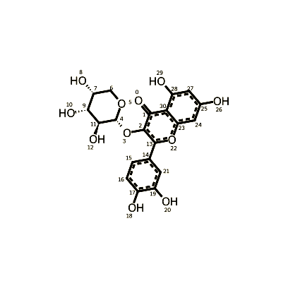 O=c1c(O[C@H]2OC[C@@H](O)[C@@H](O)[C@@H]2O)c(-c2ccc(O)c(O)c2)oc2cc(O)cc(O)c12